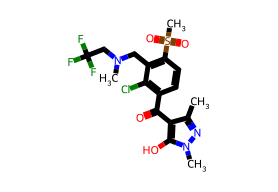 Cc1nn(C)c(O)c1C(=O)c1ccc(S(C)(=O)=O)c(CN(C)CC(F)(F)F)c1Cl